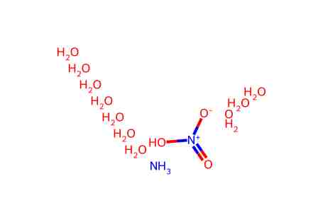 N.O.O.O.O.O.O.O.O.O.O.O=[N+]([O-])O